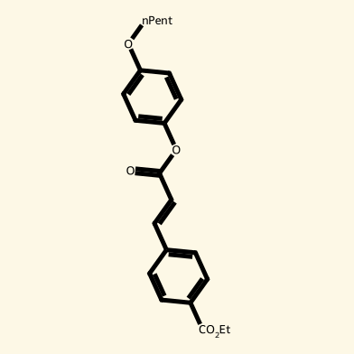 [CH2]COC(=O)c1ccc(/C=C/C(=O)Oc2ccc(OCCCCC)cc2)cc1